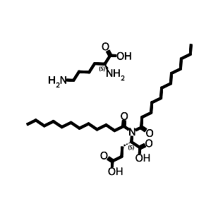 CCCCCCCCCCCC(=O)N(C(=O)CCCCCCCCCCC)[C@@H](CCC(=O)O)C(=O)O.NCCCC[C@H](N)C(=O)O